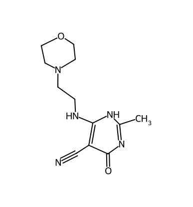 Cc1nc(=O)c(C#N)c(NCCN2CCOCC2)[nH]1